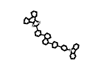 c1cc(-c2cnc3c4ccccc4c4ccccc4c3n2)cc(-c2cccc3c(-c4ccc(-c5ccc(-n6c7ccccc7c7ccccc76)cc5)cc4)cccc23)c1